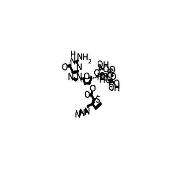 [N-]=[N+]=NCc1ccsc1C(=O)OC1C[C@H](n2cnc3c(=O)[nH]c(N)nc32)O[C@@H]1COP(=O)(O)OP(=O)(O)OP(=O)(O)O